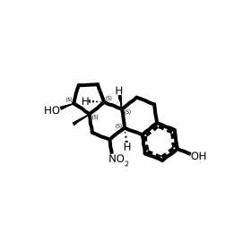 C[C@]12CC([N+](=O)[O-])[C@@H]3c4ccc(O)cc4CC[C@H]3[C@@H]1CC[C@@H]2O